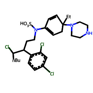 CCCCC(Cl)C(CCN(C1=CCC(CC)(N2CCNCC2)C=C1)S(=O)(=O)O)c1ccc(Cl)cc1Cl